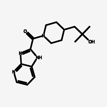 CC(C)(O)CC1CCN(C(=O)c2nc3ncccc3[nH]2)CC1